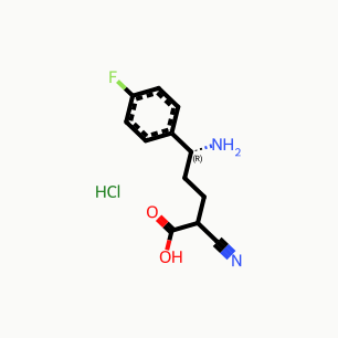 Cl.N#CC(CC[C@@H](N)c1ccc(F)cc1)C(=O)O